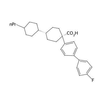 CCCC1CCC([C@H]2CC[C@](C(=O)O)(c3ccc(-c4ccc(F)cc4)cc3)CC2)CC1